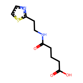 O=C(O)CCCC(=O)NCCc1nccs1